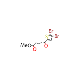 COC(=O)CCCC(=O)c1cc(Br)c(Br)s1